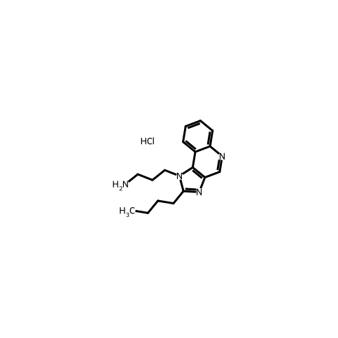 CCCCc1nc2cnc3ccccc3c2n1CCCN.Cl